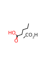 CC(=O)O.CCCCC(=O)O